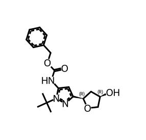 CC(C)(C)n1nc([C@H]2C[C@@H](O)CO2)cc1NC(=O)OCc1ccccc1